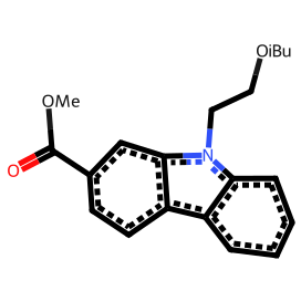 COC(=O)c1ccc2c3ccccc3n(CCOCC(C)C)c2c1